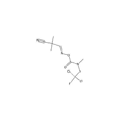 CN(SC(F)(Cl)Cl)C(=O)ON=CC(C)(C)C#N